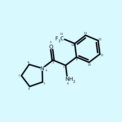 NC(C(=O)N1CCCC1)c1ccccc1C(F)(F)F